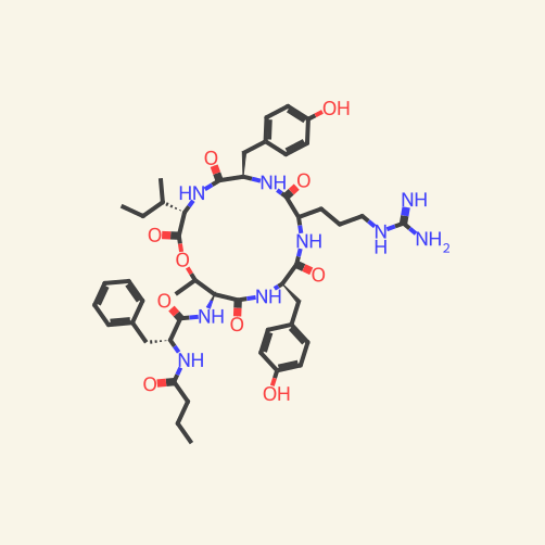 CCCC(=O)N[C@H](Cc1ccccc1)C(=O)N[C@@H]1C(=O)N[C@H](Cc2ccc(O)cc2)C(=O)NC(CCCNC(=N)N)C(=O)N[C@H](Cc2ccc(O)cc2)C(=O)N[C@@H](C(C)CC)C(=O)OC1C